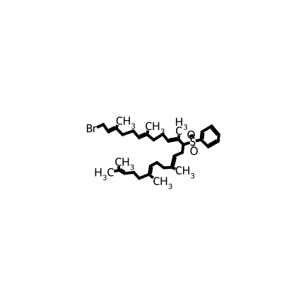 CC(C)=CCC/C(C)=C/CC/C(C)=C/CC(/C(C)=C/CC/C(C)=C/CC/C(C)=C/CBr)S(=O)(=O)c1ccccc1